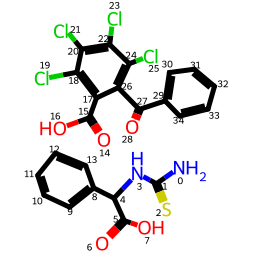 NC(=S)NC(C(=O)O)c1ccccc1.O=C(O)c1c(Cl)c(Cl)c(Cl)c(Cl)c1C(=O)c1ccccc1